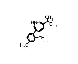 Cc1ccc(C2=CNC=C(C(C)C)C=C2)c(C)c1